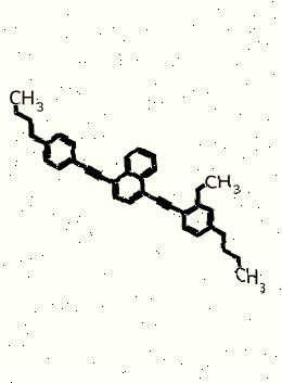 CCCCc1ccc(C#Cc2ccc(C#Cc3ccc(CCCC)cc3CC)c3ccccc23)cc1